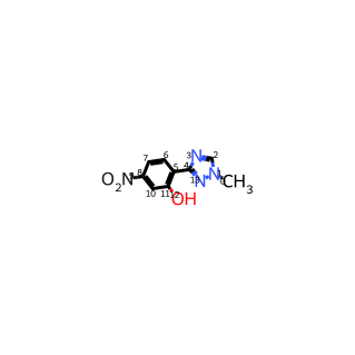 Cn1cnc(-c2ccc([N+](=O)[O-])cc2O)n1